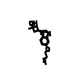 CSCCOc1ccc2c(c1)ncn2C1CC(C)(O)C1